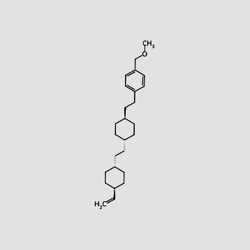 C=C[C@H]1CC[C@H](CC[C@H]2CC[C@H](CCc3ccc(COC)cc3)CC2)CC1